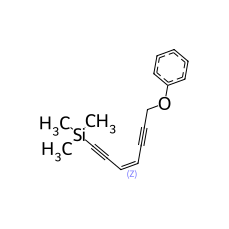 C[Si](C)(C)C#C/C=C\C#CCOc1ccccc1